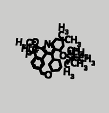 COC(C)c1nc2c(c(C3CCCCC3)c1-c1cc(C=O)ccc1C(F)(F)F)C(O[Si](C)(C)C(C)(C)C)CC(C)(C)C2